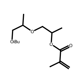 C=C(C)C(=O)OC(C)COC(C)COCC(C)C